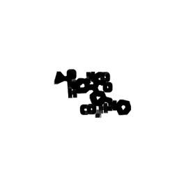 CN(Cc1cc(-c2c3c(nc4cc(NC(=O)C5CC5)ccc24)COC3=O)ccc1C(=O)O)C1CCCCC1